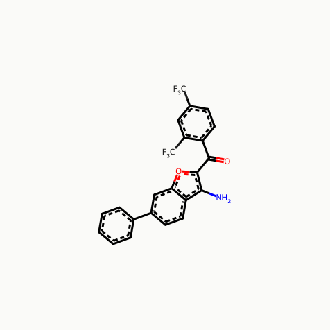 Nc1c(C(=O)c2ccc(C(F)(F)F)cc2C(F)(F)F)oc2cc(-c3ccccc3)ccc12